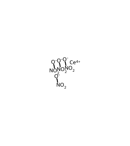 O=[N+]([O-])[O-].O=[N+]([O-])[O-].O=[N+]([O-])[O-].O=[N+]([O-])[O-].[Ce+4]